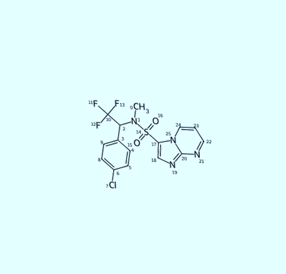 CN(C(c1ccc(Cl)cc1)C(F)(F)F)S(=O)(=O)c1cnc2ncccn12